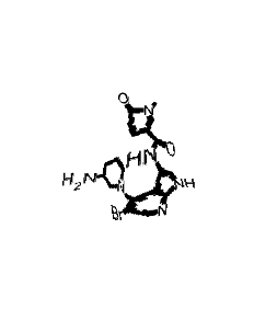 Cn1cc(C(=O)Nc2c[nH]c3ncc(Br)c(N4CCCC(N)C4)c23)ccc1=O